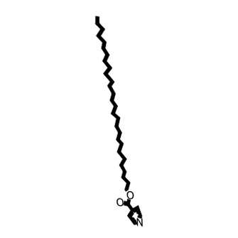 CCCCCCCCCCCCCCCCCCCCCCCCCCCCOC(=O)c1ccncc1